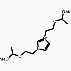 COC(C)OCCn1cc[n+](CCOC(C)OC)c1